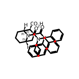 O=C(O)[C@@H]1[C@H]2CCC[C@@H](CN1C(=O)N(c1ccccc1)c1ccccc1)N2C(=O)N(Cc1ccccc1)c1ccccc1